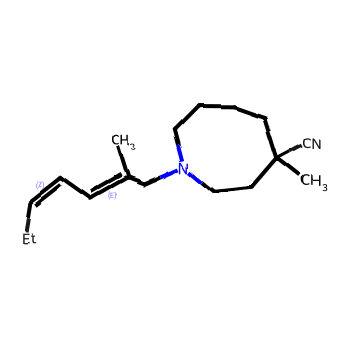 CC/C=C\C=C(/C)CN1CCCCC(C)(C#N)CC1